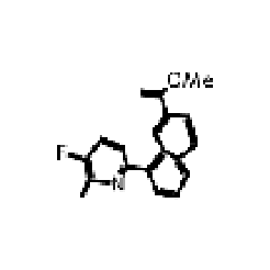 C=C(OC)c1ccc2cccc(-c3ccc(F)c(C)n3)c2c1